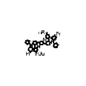 CCCCc1ccc2c3c(N(c4ccccc4)c4ccc(C(C)C)cc4)ccc4c5cc6c(cc5n(c2c1)c43)c1ccc(N(c2ccccc2)c2ccc(C(C)C)cc2)c2c3ccc(CCCC)cc3n6c12